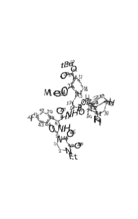 CCN1CCN(C(=O)NC(C(=O)N[C@@H](Cc2cccc(C(=O)OC(C)(C)C)c2OC)B2O[C@@H]3C[C@@H]4C[C@@H](C4(C)C)[C@]3(C)O2)c2ccc(I)cc2)C(=O)C1=O